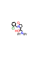 CC(C)N(C[C@@H](O)[C@@H]1CCC(=O)N1Cc1ccccc1Cl)C(C)C